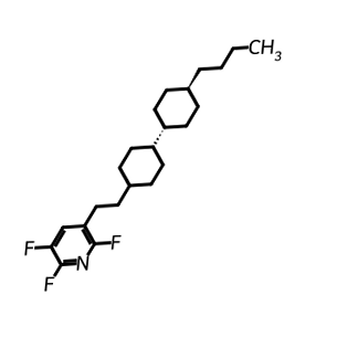 CCCC[C@H]1CC[C@H](C2CCC(CCc3cc(F)c(F)nc3F)CC2)CC1